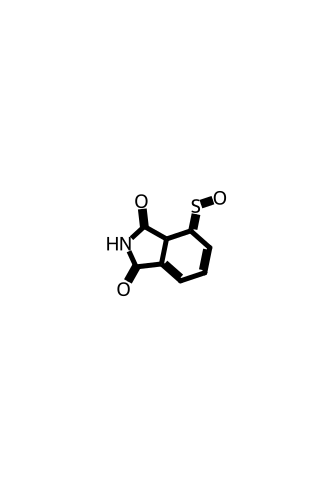 O=S=C1C=CC=C2C(=O)NC(=O)C21